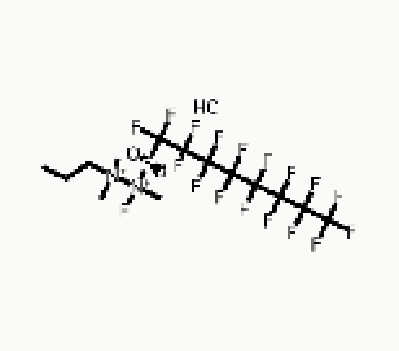 CCC[N+](C)(C)[N+](C)(F)S(=O)(=O)C(F)(F)C(F)(F)C(F)(F)C(F)(F)C(F)(F)C(F)(F)C(F)(F)C(F)(F)F.Cl